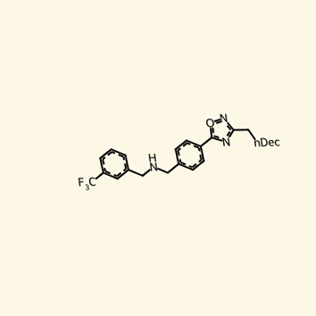 CCCCCCCCCCCc1noc(-c2ccc(CNCc3cccc(C(F)(F)F)c3)cc2)n1